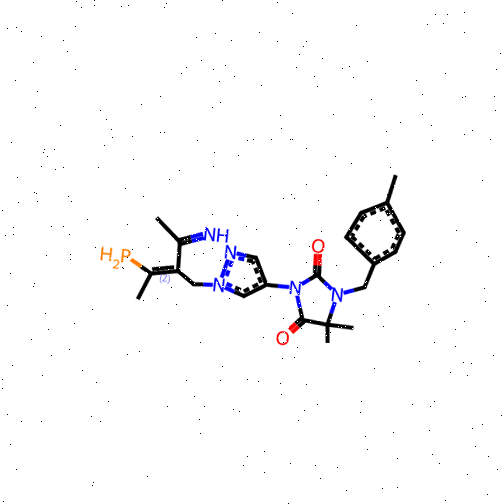 CC(=N)/C(Cn1cc(N2C(=O)N(Cc3ccc(C)cc3)C(C)(C)C2=O)cn1)=C(/C)P